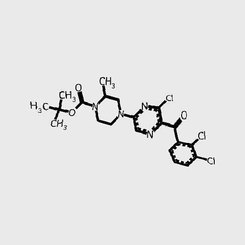 CC1CN(c2cnc(C(=O)c3cccc(Cl)c3Cl)c(Cl)n2)CCN1C(=O)OC(C)(C)C